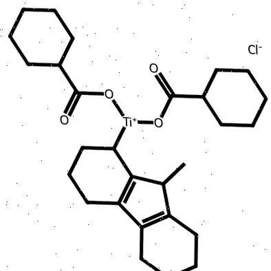 CC1C2=C(CCCC2)C2=C1[CH]([Ti+]([O]C(=O)C1CCCCC1)[O]C(=O)C1CCCCC1)CCC2.[Cl-]